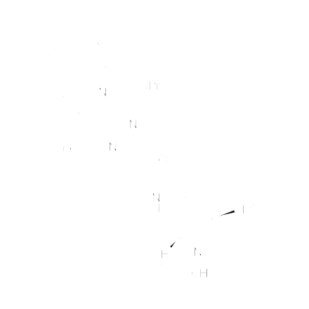 CC(C)c1nn(CC(=O)NC2C[C@H]3C[C@@H]2N(C)C3)c(=O)c2cc3ccsc3n12